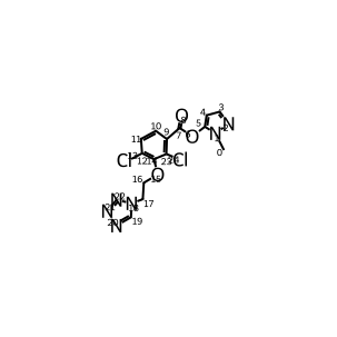 Cn1nccc1OC(=O)c1ccc(Cl)c(OCCn2cnnn2)c1Cl